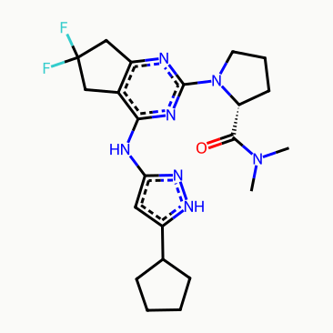 CN(C)C(=O)[C@H]1CCCN1c1nc2c(c(Nc3cc(C4CCCC4)[nH]n3)n1)CC(F)(F)C2